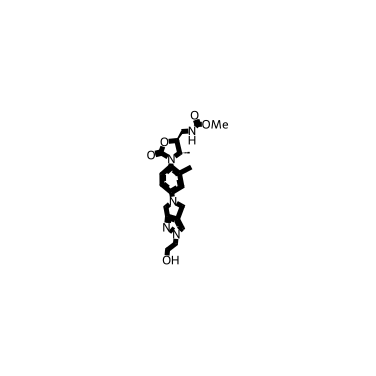 COC(=O)NC[C@@H]1OC(=O)N(c2ccc(N3Cc4cn(CCO)nc4C3)cc2C)[C@H]1C